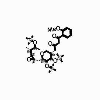 COc1ccccc1C(=O)CC(=O)C[C@H]1CO[C@@H](C[C@@H]2O[C@H]2[C@H](C)[C@H](C)O[Si](C)(C)C)[C@@H](O[Si](C)(C)C)[C@@H]1O[Si](C)(C)C